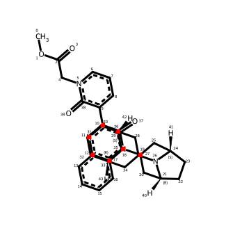 COC(=O)Cn1cccc(-c2nc3ccccc3n(C3C[C@H]4CC[C@@H](C3)N4C3C[C@H]4CCC[C@@H](C3)C4)c2=O)c1=O